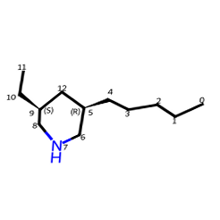 CCCCC[C@H]1CNC[C@@H](CC)C1